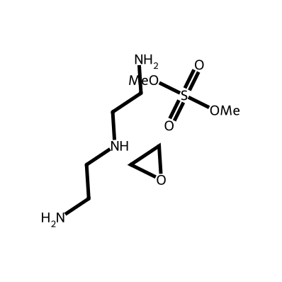 C1CO1.COS(=O)(=O)OC.NCCNCCN